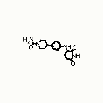 NC(=O)N1CCC(c2ccc(NC3CCC(=O)NC3=O)cc2)CC1